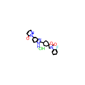 Cl.O=C1OC2(CCC(c3nc4cc(-n5ncccc5=O)ccc4[nH]3)CC2)CN1c1ccccc1F